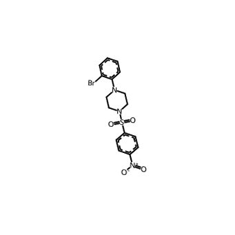 O=[N+]([O-])c1ccc(S(=O)(=O)N2CCN(c3ccccc3Br)CC2)cc1